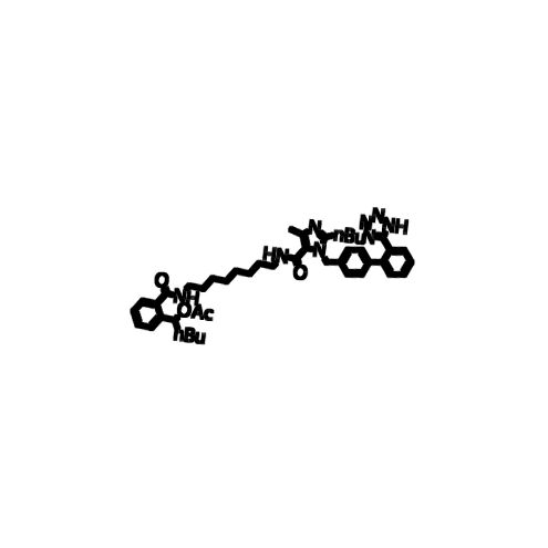 CCCCc1nc(C)c(C(=O)NCCCCCCCCNC(=O)c2ccccc2C(CCCC)OC(C)=O)n1Cc1ccc(-c2ccccc2-c2nnn[nH]2)cc1